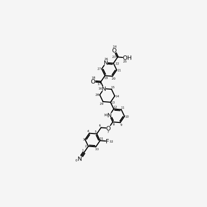 N#Cc1ccc(COc2cccc(C3CCN(C(=O)c4ccc(C(=O)O)nc4)CC3)n2)c(F)c1